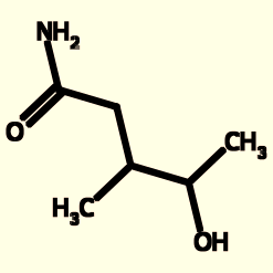 CC(O)C(C)CC(N)=O